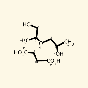 CC(O)COC(C)CO.O=C(O)CCC(=O)O